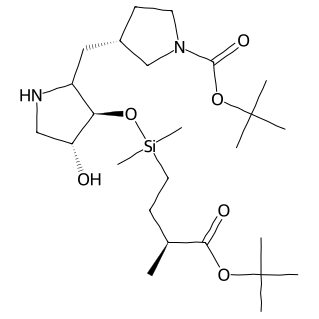 C[C@@H](CC[Si](C)(C)O[C@@H]1C(C[C@@H]2CCN(C(=O)OC(C)(C)C)C2)NC[C@H]1O)C(=O)OC(C)(C)C